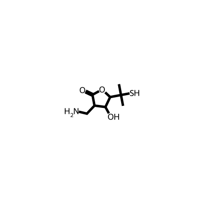 CC(C)(S)C1OC(=O)C(CN)C1O